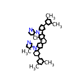 Cc1cc(C)cc(C2=Cc3c(n(-c4cnccc4C)c4cc5c(cc34)CCc3cc4c6cc(-c7cc(C)cc(C)c7)ccc6n(-c6cnccc6C)c4cc3-5)CC2)c1